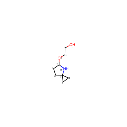 OCCOC1CCC2(CC2)N1